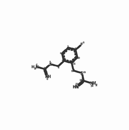 N=C(N)SCc1ccc(F)cc1CSC(=N)N